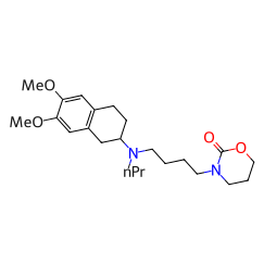 CCCN(CCCCN1CCCOC1=O)C1CCc2cc(OC)c(OC)cc2C1